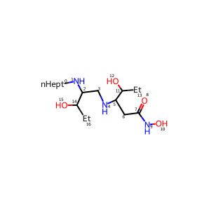 CCCCCCCNC(CNC(CC(=O)NO)C(O)CC)C(O)CC